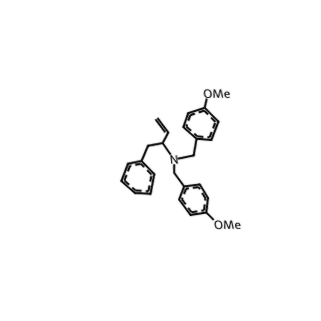 C=CC(Cc1ccccc1)N(Cc1ccc(OC)cc1)Cc1ccc(OC)cc1